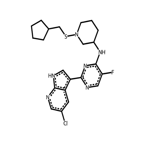 Fc1cnc(-c2c[nH]c3ncc(Cl)cc23)nc1NC1CCCN(SCC2CCCC2)C1